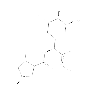 CCC[C@@H]1CC(C(=O)N[C@H](/C(C)=N/CC)[C@H]2O[C@H](SC)[C@H](O)[C@@H](O)[C@H]2O)N(C)C1